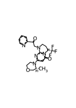 C[C@@H]1COCCN1c1cc(=O)n2c(n1)N(CC(=O)c1ccccn1)CC[C@@H]2C(F)(F)F